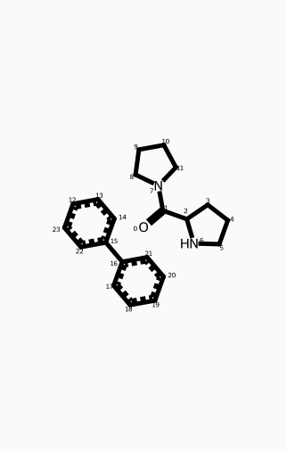 O=C(C1CCCN1)N1CCCC1.c1ccc(-c2ccccc2)cc1